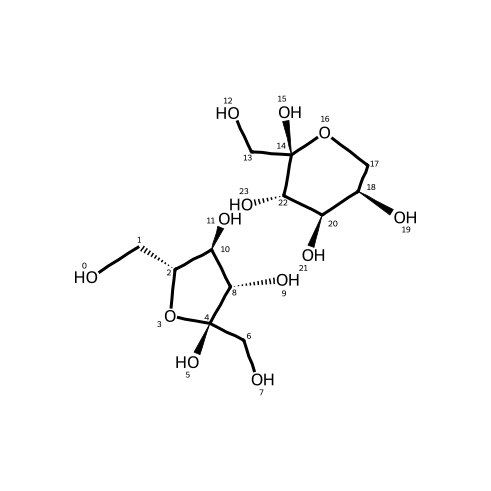 OC[C@H]1O[C@@](O)(CO)[C@@H](O)[C@@H]1O.OC[C@]1(O)OC[C@@H](O)[C@@H](O)[C@@H]1O